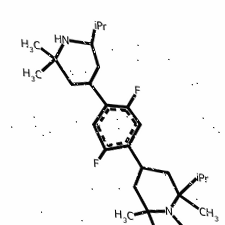 CC(C)C1CC(c2cc(F)c(C3CC(C)(C)N(O)C(C)(C(C)C)C3)cc2F)CC(C)(C)N1